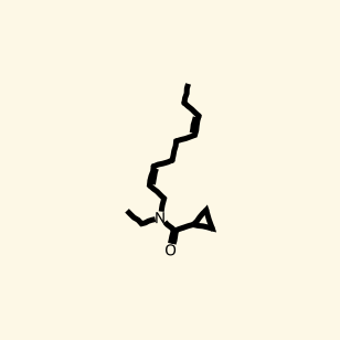 CC/C=C\CC/C=C\CN(CC)C(=O)C1CC1